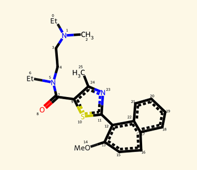 CCN(C)CCN(CC)C(=O)c1sc(-c2c(OC)ccc3ccccc23)nc1C